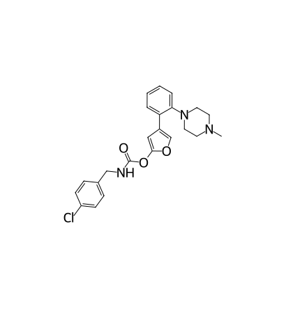 CN1CCN(c2ccccc2-c2coc(OC(=O)NCc3ccc(Cl)cc3)c2)CC1